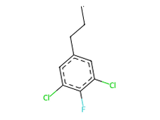 [CH2]CCc1cc(Cl)c(F)c(Cl)c1